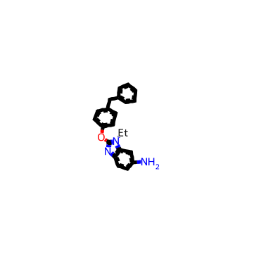 CCn1c(Oc2ccc(Cc3ccccc3)cc2)nc2ccc(N)cc21